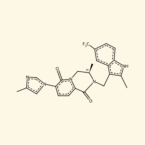 Cc1cn(-c2ccc3n(c2=O)C[C@@H](C)N(Cc2c(C)[nH]c4ccc(C(F)(F)F)cc24)C3=O)cn1